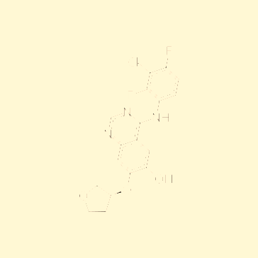 Oc1cc2c(Nc3ccc(F)c(Cl)c3F)ncnc2cc1O[C@H]1CCOC1